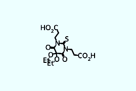 CCOC1(OCC)C(=O)N(CCC(=O)O)C(=S)N(CCC(=O)O)C1=O